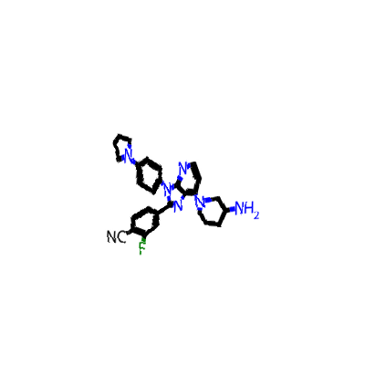 N#Cc1ccc(-c2nc3c(N4CCCC(N)C4)ccnc3n2-c2ccc(N3CCCC3)cc2)cc1F